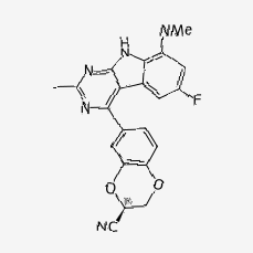 CNc1cc(F)cc2c1[nH]c1nc(C)nc(-c3ccc4c(c3)O[C@H](C#N)CO4)c12